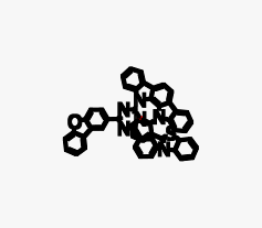 C1=CC2N=C(c3ccccc3-n3c4ccccc4c4ccc5c6ccccc6n(-c6nc(-c7ccccc7)nc(-c7ccc8oc9ccccc9c8c7)n6)c5c43)SC2C=C1